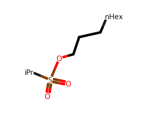 CCCCCCCCCOS(=O)(=O)C(C)C